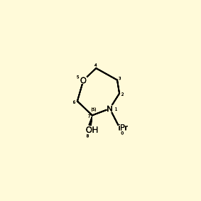 CC(C)N1CCCOC[C@@H]1O